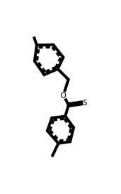 Cc1ccc(COC(=S)c2ccc(C)cc2)cc1